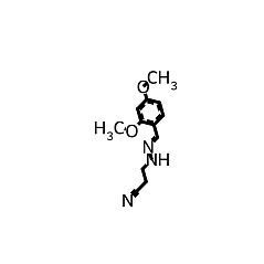 COc1ccc(C=NNCCC#N)c(OC)c1